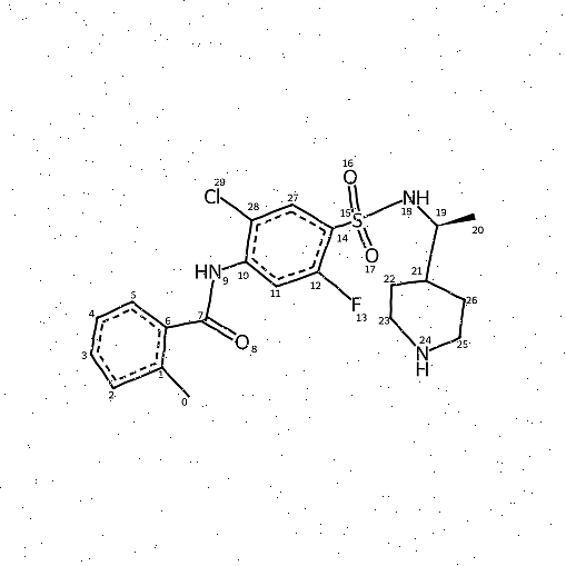 Cc1ccccc1C(=O)Nc1cc(F)c(S(=O)(=O)N[C@@H](C)C2CCNCC2)cc1Cl